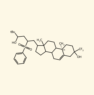 CC(C)(C)C(O)CC(CC1CCC2C3CC=C4CC(O)(C(F)(F)F)CC[C@]4(C)C3CCC12C)S(=O)(=O)c1ccccc1